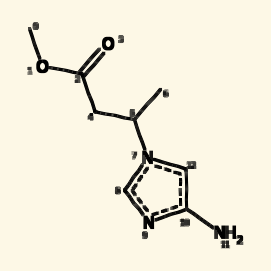 COC(=O)CC(C)n1cnc(N)c1